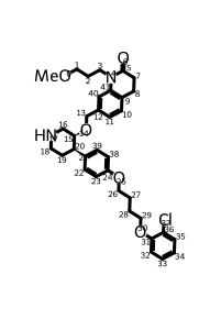 COCCCN1C(=O)CCc2ccc(CO[C@H]3CNCC[C@@H]3c3ccc(OCCCCOc4ccccc4Cl)cc3)cc21